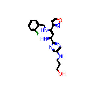 N=C(/C=C(\NCc1ccccc1F)c1ccon1)c1ncc(NCCCO)cn1